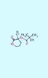 CCC(C)(C)C(=O)OC1(C)CCCOC1=O